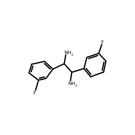 NC(c1cccc(F)c1)C(N)c1cccc(F)c1